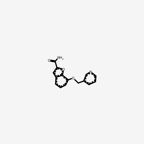 NC(=O)c1cc2cccc(OCc3cccnc3)c2o1